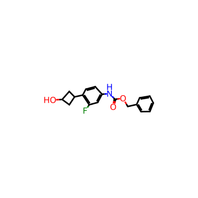 O=C(Nc1ccc(C2CC(O)C2)c(F)c1)OCc1ccccc1